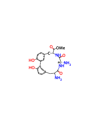 COC(=O)C1Cc2ccc(O)c(c2)-c2cc(ccc2O)CC(N)C(=O)N[C@@H](N)C(=O)N1